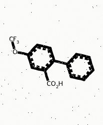 O=C(O)c1cc(OC(F)(F)F)ccc1-c1ccccc1